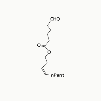 CCCCC/C=C\CCOC(=O)CCCCC=O